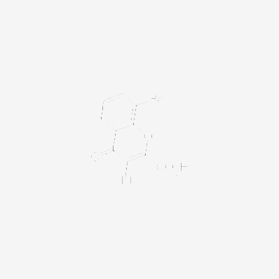 CCc1c(C(=O)O)oc2c(Br)cccc2c1=O